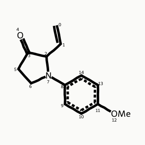 C=CC1C(=O)CCN1c1ccc(OC)cc1